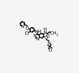 C=CC(=O)Nc1cc2c(Nc3ccc(OCc4ccccn4)c(Cl)c3)ncnc2cc1OCCN1CC2(COC2)C1